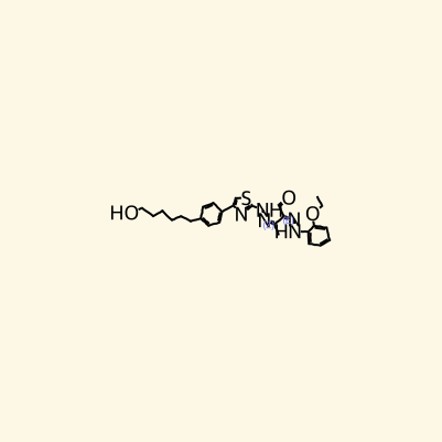 CCOc1ccccc1N/N=C(C=O)\C(C)=N/Nc1nc(-c2ccc(CCCCCCO)cc2)cs1